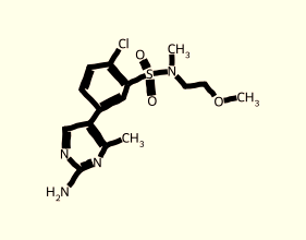 COCCN(C)S(=O)(=O)c1cc(-c2cnc(N)nc2C)ccc1Cl